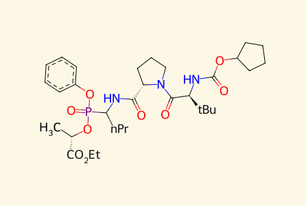 CCCC(NC(=O)[C@@H]1CCCN1C(=O)[C@@H](NC(=O)OC1CCCC1)C(C)(C)C)P(=O)(Oc1ccccc1)O[C@@H](C)C(=O)OCC